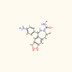 CNC(=O)N1N=C(c2ccc(N)cc2)c2cc3c(cc2CC1C)OOC3